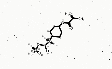 C=C(C)C(=O)NC1CCC(S(=O)(=O)N(C)OS(C)(=O)=O)CC1